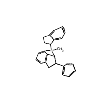 CS1(C2CCc3ccccc32)c2cccc3c2C1C(c1ccccc1)C3